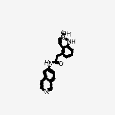 O=C(Cc1cccc2c1C=CB(O)N2)Nc1ccc2cnccc2c1